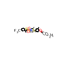 CCCN(C[C@@H](C)Sc1ccc(OCC(=O)O)c(C)c1)S(=O)(=O)c1sc2ccc(C(F)(F)F)cc2c1C